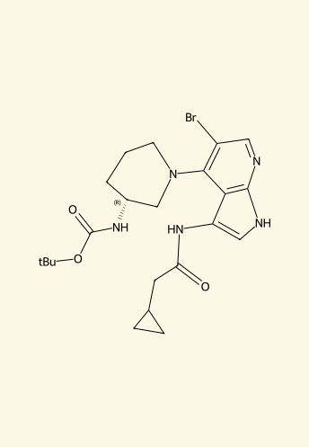 CC(C)(C)OC(=O)N[C@@H]1CCCN(c2c(Br)cnc3[nH]cc(NC(=O)CC4CC4)c23)C1